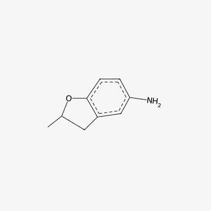 CC1Cc2cc(N)ccc2O1